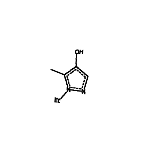 CCn1ncc(O)c1C